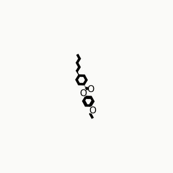 CCCCC[C@H]1CC[C@H](C(=O)Oc2ccc(OCC)cc2)CC1